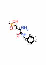 CP(=O)(O)CCC(N)C(=O)NCc1ccccc1